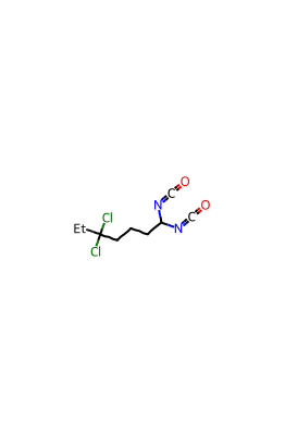 CCC(Cl)(Cl)CCCC(N=C=O)N=C=O